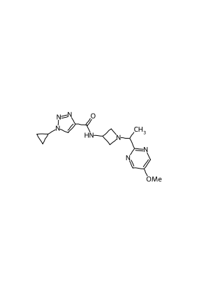 COc1cnc(C(C)N2CC(NC(=O)c3cn(C4CC4)nn3)C2)nc1